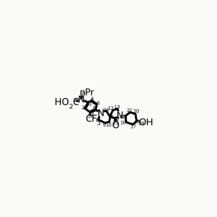 CCCN(C(=O)O)c1ccc(N2CCCC3(CCN([C@H]4CC[C@H](O)CC4)C3=O)C2)c(C(F)(F)F)c1